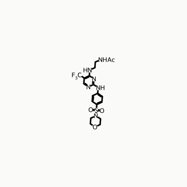 CC(=O)NCCNc1nc(Nc2ccc(S(=O)(=O)N3CCOCC3)cc2)ncc1C(F)(F)F